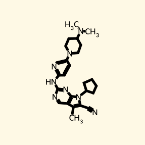 Cc1c(C#N)n(C2CCCC2)c2nc(Nc3ccc(N4CCC(N(C)C)CC4)cn3)ncc12